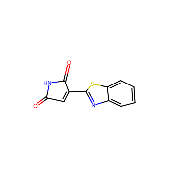 O=C1C=C(c2nc3ccccc3s2)C(=O)N1